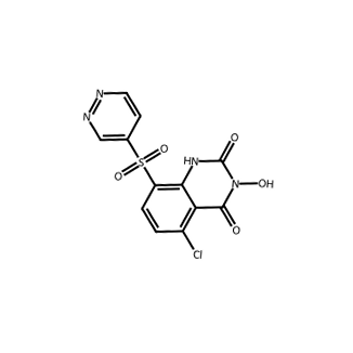 O=c1[nH]c2c(S(=O)(=O)c3ccnnc3)ccc(Cl)c2c(=O)n1O